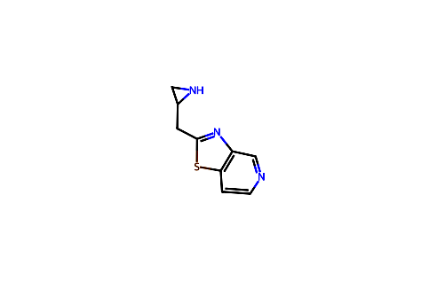 c1cc2sc(CC3CN3)nc2cn1